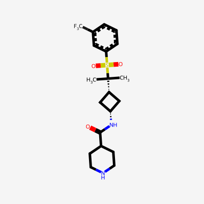 CC(C)([C@H]1C[C@@H](NC(=O)C2CCNCC2)C1)S(=O)(=O)c1cccc(C(F)(F)F)c1